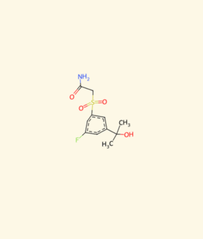 CC(C)(O)c1cc(F)cc(S(=O)(=O)CC(N)=O)c1